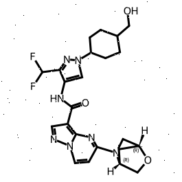 O=C(Nc1cn(C2CCC(CO)CC2)nc1C(F)F)c1cnn2ccc(N3C[C@H]4C[C@@H]3CO4)nc12